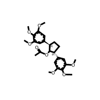 COc1cc([C@H]2CC[C@H](c3cc(OC)c(OC)c(OC)c3)C2OC(C)=O)cc(OC)c1OC